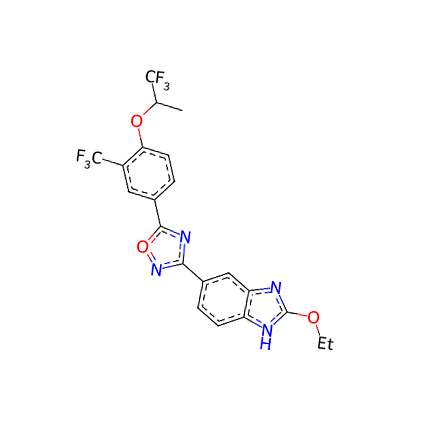 CCOc1nc2cc(-c3noc(-c4ccc(OC(C)C(F)(F)F)c(C(F)(F)F)c4)n3)ccc2[nH]1